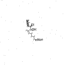 CCCCCCCCCCCCCC[C@@H](C)[C@@H](O)[C@H](CC)N=[N+]=[N-]